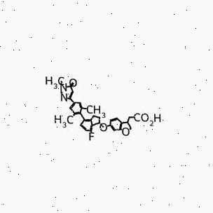 Cc1cc(-c2cc(=O)n(C)cn2)cc(C)c1-c1ccc(F)c2c1CC[C@H]2Oc1ccc2c(c1)OCC2CC(=O)O